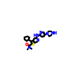 CN(C)C(=O)c1sc2cnc(Nc3ccc(N4CCNCC4)cn3)cc2c1C1CCCCC1